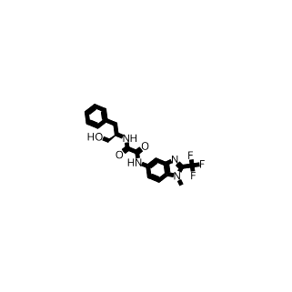 Cn1c(C(F)(F)F)nc2cc(NC(=O)C(=O)N[C@@H](CO)Cc3ccccc3)ccc21